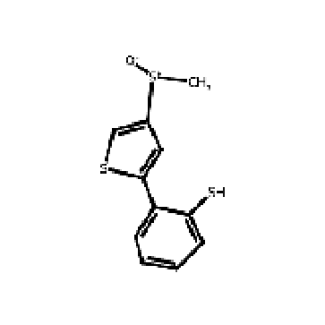 C[S+]([O-])c1csc(-c2ccccc2S)c1